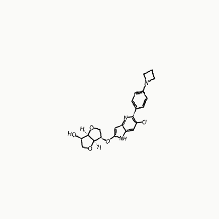 O[C@@H]1CO[C@H]2[C@@H]1OC[C@H]2Oc1cc2nc(-c3ccc(N4CCC4)cc3)c(Cl)cc2[nH]1